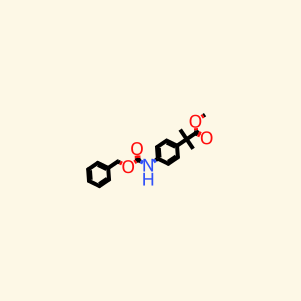 COC(=O)C(C)(C)c1ccc(NC(=O)OCc2ccccc2)cc1